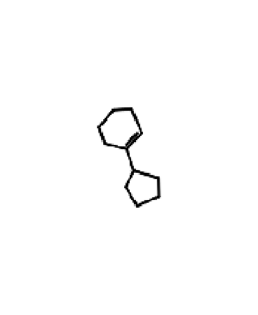 C1=C([C]2CCCC2)CCCC1